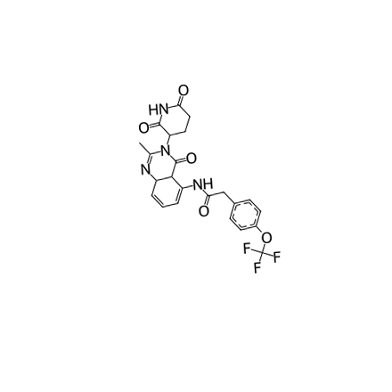 CC1=NC2C=CC=C(NC(=O)Cc3ccc(OC(F)(F)F)cc3)C2C(=O)N1C1CCC(=O)NC1=O